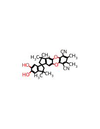 Cc1c(C)c(C#N)c2c(c1C#N)Oc1cc3c(cc1O2)C1(CC(C)(C)c2cc(O)c(O)cc21)CC3(C)C